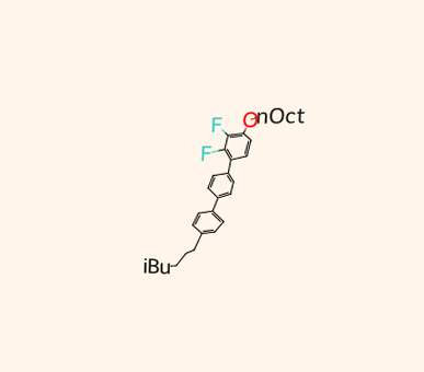 CCCCCCCCOc1ccc(-c2ccc(-c3ccc(CCCC(C)CC)cc3)cc2)c(F)c1F